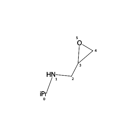 CC(C)NCC1CO1